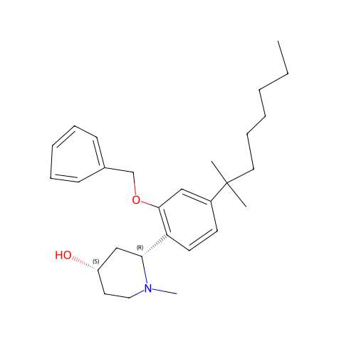 CCCCCCC(C)(C)c1ccc([C@H]2C[C@@H](O)CCN2C)c(OCc2ccccc2)c1